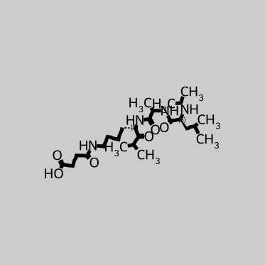 CC(C)C[C@H](NC(C)C)C(=O)NC(C)C(=O)N[C@@H](CCCCNC(=O)CCC(=O)O)C(=O)C(C)C